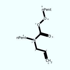 C=CCN(CCCCC)C(=O)OOCCCCC